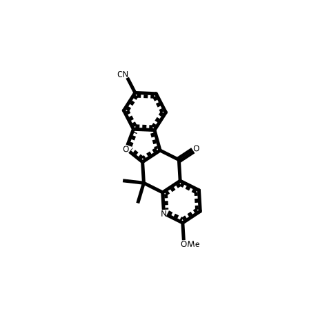 [C-]#[N+]c1ccc2c3c(oc2c1)C(C)(C)c1nc(OC)ccc1C3=O